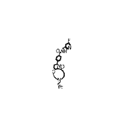 CC(C)CCN1CCCCC(=O)c2nc(-c3ccc(C(=O)NCc4cncc(F)c4)cc3)ccc2OCCC1